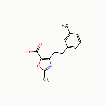 Cc1cccc(CCc2nc(C)oc2C(=O)O)c1